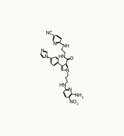 N#Cc1ccc(NCCNC(=O)c2cn(CCCNc3ccc([N+](=O)[O-])c(N)n3)cc2-c2ccc(-n3ccnc3)cc2)nc1